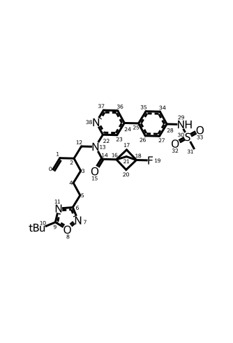 C=CC(CCCc1noc(C(C)(C)C)n1)CN(C(=O)C12CC(F)(C1)C2)c1cc(-c2ccc(NS(C)(=O)=O)cc2)ccn1